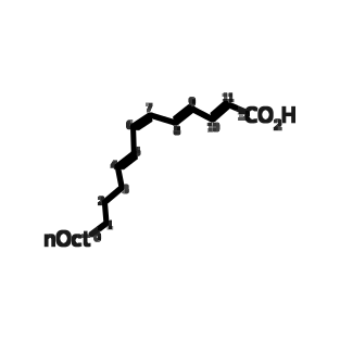 CCCCCCCCCCC/C=C/C=C\C=C\C=CC(=O)O